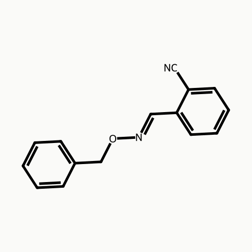 N#Cc1ccccc1C=NOCc1ccccc1